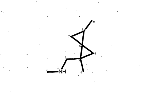 CNCC1(C)CC12CC2C